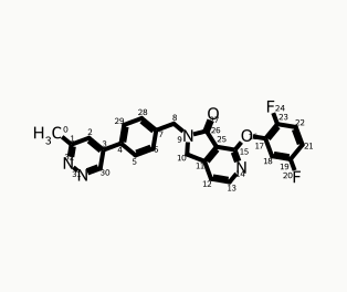 Cc1cc(-c2ccc(CN3Cc4ccnc(Oc5cc(F)ccc5F)c4C3=O)cc2)cnn1